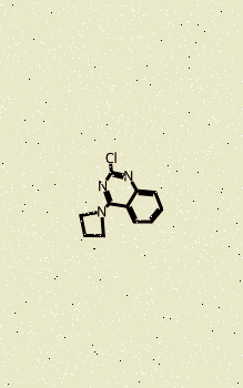 Clc1nc(N2CCC2)c2ccccc2n1